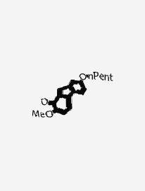 CCCCCOc1ccc2c(c1)C=C1C(=O)C(OC)=CC=C12